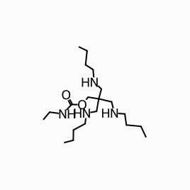 CCCCNCC(CNCCCC)(CNCCCC)COC(=O)NCC